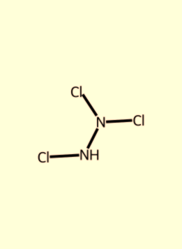 ClNN(Cl)Cl